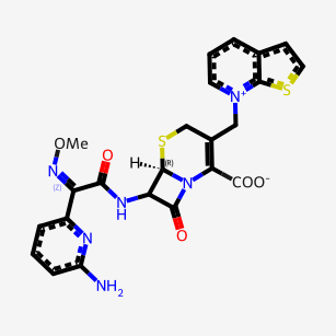 CO/N=C(\C(=O)NC1C(=O)N2C(C(=O)[O-])=C(C[n+]3cccc4ccsc43)CS[C@H]12)c1cccc(N)n1